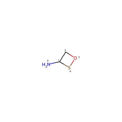 NC1COS1